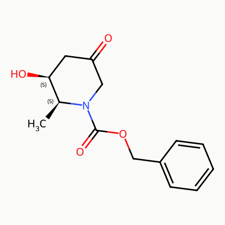 C[C@H]1[C@@H](O)CC(=O)CN1C(=O)OCc1ccccc1